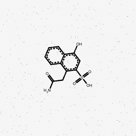 NC(=O)Cc1c(S(=O)(=O)O)cc(O)c2ccccc12